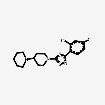 Clc1ccc(-c2nsc(N3CCC(N4CCCCC4)CC3)n2)c(Cl)c1